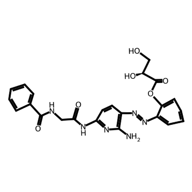 Nc1nc(NC(=O)CNC(=O)c2ccccc2)ccc1/N=N/c1ccccc1OC(=O)[C@@H](O)CO